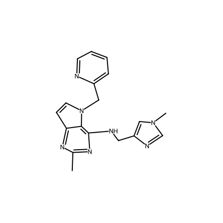 Cc1nc(NCc2cn(C)cn2)c2c(ccn2Cc2ccccn2)n1